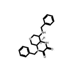 O=C1N[C@@H]2C(NCc3ccccc3)COCC2N(Cc2ccccc2)C1=O